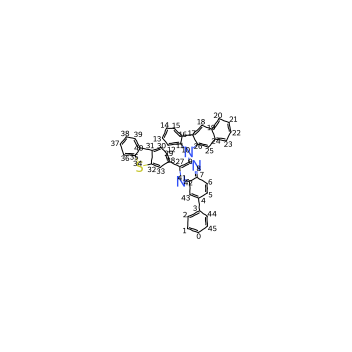 c1ccc(-c2ccc3nc(-n4c5ccccc5c5cc6ccccc6cc54)c(-c4ccc5c(c4)sc4ccccc45)nc3c2)cc1